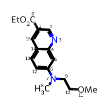 CCOC(=O)c1cnc2cc(N(C)CCOC)ccc2c1